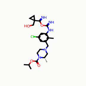 Cc1c(CN2CCN(C(=O)OC(C)C)[C@@H](C)C2)cc(Cl)cc1NC(=N)OC(=N)C1(CO)CC1